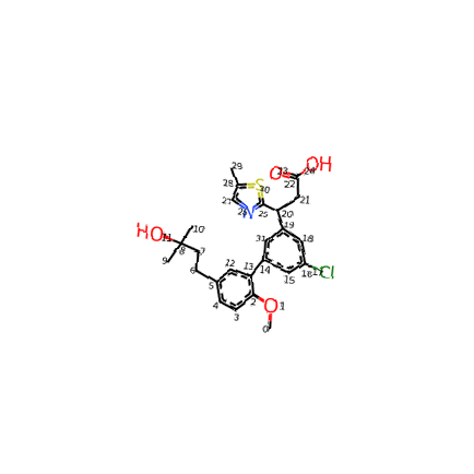 COc1ccc(CCC(C)(C)O)cc1-c1cc(Cl)cc(C(CC(=O)O)c2ncc(C)s2)c1